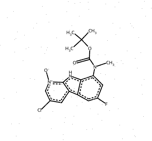 CN(C(=O)OC(C)(C)C)c1cc(F)cc2c1[nH]c1c2cc(Cl)c[n+]1[O-]